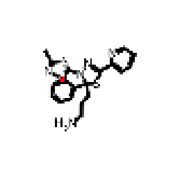 Cc1nnc(N2N=C(c3ccccn3)SC2(CCCN)c2ccccc2)s1